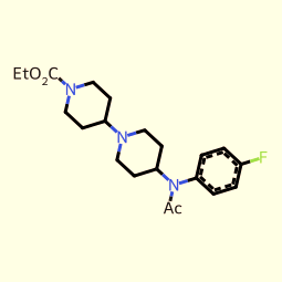 CCOC(=O)N1CCC(N2CCC(N(C(C)=O)c3ccc(F)cc3)CC2)CC1